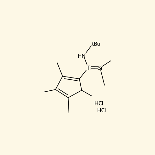 CC1=C(C)C(C)[C]([Ti]([NH]C(C)(C)C)=[Si](C)C)=C1C.Cl.Cl